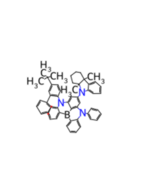 CC(C)(C)c1ccc(N2c3ccccc3B3c4ccccc4N(c4ccccc4)c4cc(N5c6ccccc6C6(C)CCCCC56C)cc2c43)c(-c2ccccc2)c1